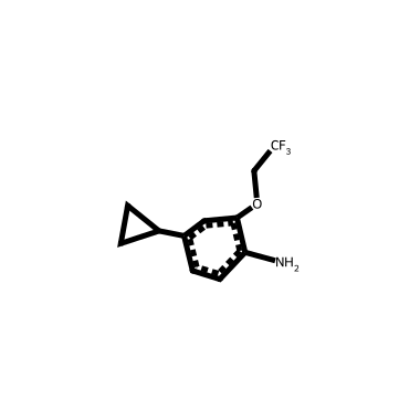 Nc1ccc(C2CC2)cc1OCC(F)(F)F